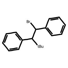 CC(C)(C)[C](c1ccccc1)C(Br)c1ccccc1